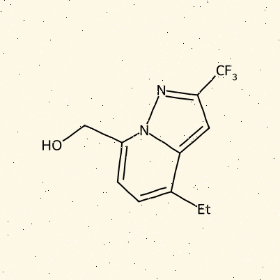 CCc1ccc(CO)n2nc(C(F)(F)F)cc12